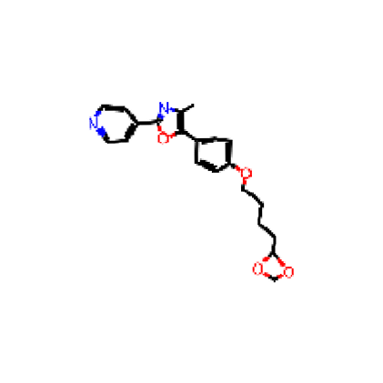 Cc1nc(-c2ccncc2)oc1-c1ccc(OCCCCC2OCO2)cc1